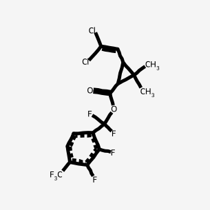 CC1(C)C(C=C(Cl)Cl)C1C(=O)OC(F)(F)c1ccc(C(F)(F)F)c(F)c1F